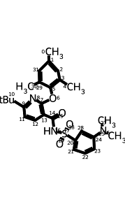 Cc1cc(C)c(Oc2nc(C(C)(C)C)ccc2C(=O)NS(=O)(=O)c2cccc(N(C)C)c2)c(C)c1